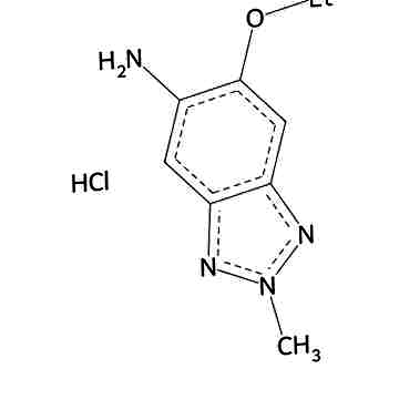 CCOc1cc2nn(C)nc2cc1N.Cl